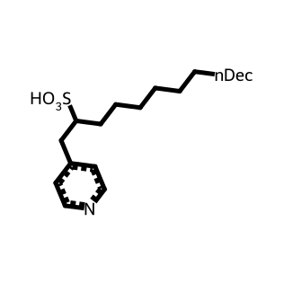 CCCCCCCCCCCCCCCCC(Cc1ccncc1)S(=O)(=O)O